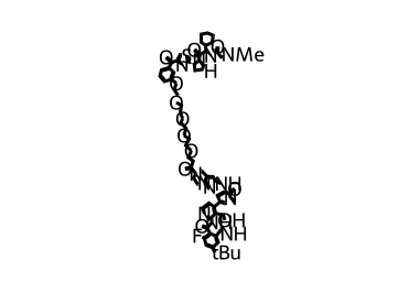 CNCC(=O)N[C@@H](C(=O)N1CCC[C@@H]1c1nc(C(=O)c2cccc(OCCOCCOCCOCCOCCC(=O)N3CCn4nc(Nc5cc(-c6ccnc(NC(=O)c7c(F)cc(C(C)(C)C)cc7C=N)c6CO)cn(C)c5=O)cc4C3)c2)cs1)C1CCCCC1